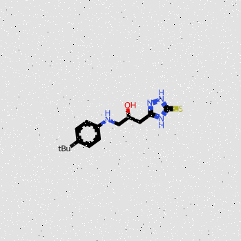 CC(C)(C)c1ccc(NCC(O)Cc2n[nH]c(=S)[nH]2)cc1